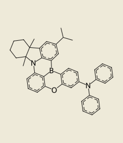 CC(C)c1cc2c3c(c1)C1(C)CCCCC1(C)N3c1cccc3c1B2c1ccc(N(c2ccccc2)c2ccccc2)cc1O3